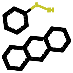 SSc1ccccc1.c1ccc2cc3ccccc3cc2c1